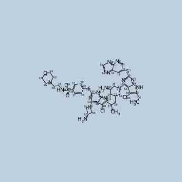 CCc1[nH]c2nc(Sc3cnc4nccnc4c3)nc(N3C[C@H](N)C[C@H](CC(C)c4[nH]c5nc(Sc6ccc(S(=O)(=O)NCCN7CCOCC7)cc6)nc(N6CC(N)C6)c5c4Cl)C3)c2c1Cl